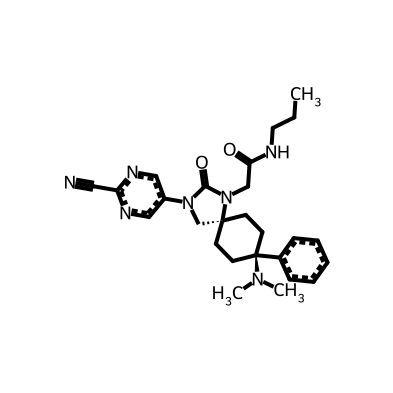 CCCNC(=O)CN1C(=O)N(c2cnc(C#N)nc2)C[C@]12CC[C@](c1ccccc1)(N(C)C)CC2